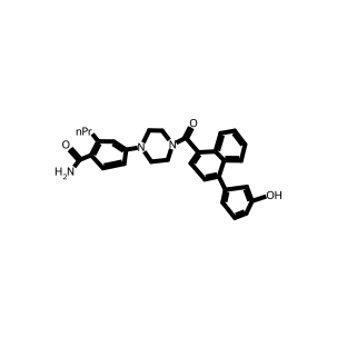 CCCc1cc(N2CCN(C(=O)c3ccc(-c4cccc(O)c4)c4ccccc34)CC2)ccc1C(N)=O